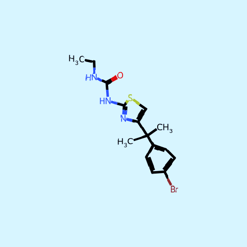 CCNC(=O)Nc1nc(C(C)(C)c2ccc(Br)cc2)cs1